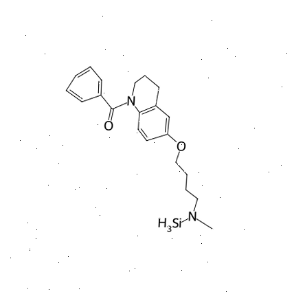 CN([SiH3])CCCCOc1ccc2c(c1)CCCN2C(=O)c1ccccc1